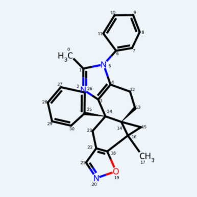 Cc1nc2c(n1-c1ccccc1)CC[C@@]13CC1(C)c1oncc1C[C@]23c1ccccc1